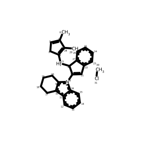 CC1=CC[C]([Hf][CH]2C(n3c4c(c5ccccc53)CCCC4)=Cc3ccccc32)=C1C.CCl